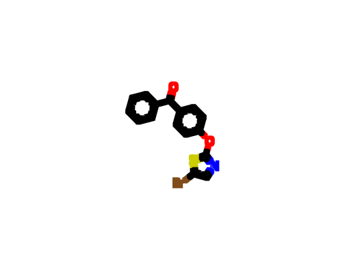 O=C(c1ccccc1)c1ccc(Oc2ncc(Br)s2)cc1